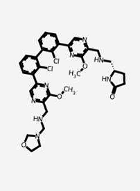 COc1nc(-c2cccc(-c3cccc(-c4cnc(CNCN5CCOC5)c(OC)n4)c3Cl)c2Cl)cnc1CNC[C@@H]1CCC(=O)N1